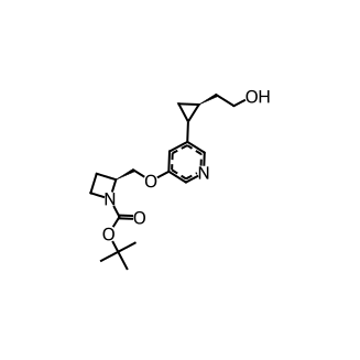 CC(C)(C)OC(=O)N1CC[C@H]1COc1cncc(C2C[C@H]2CCO)c1